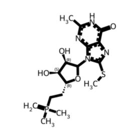 C=P(C)(C)CC[C@H]1OC(n2c(SC)nc3c(=O)[nH]c(C)nc32)[C@H](O)[C@@H]1O